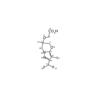 CC1(OCC(=O)O)COc2c(I)c(C(F)F)nn2C1